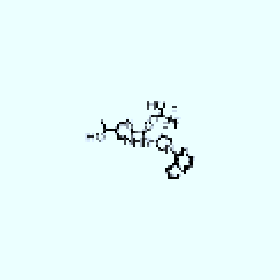 CC(O)c1cnc(C(=O)N[C@H]2CCN(c3nccn4cccc34)C2)nc1.O=C(O)C(F)(F)F